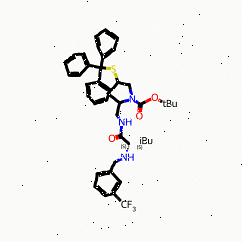 CC[C@H](C)[C@H](NCc1cccc(C(F)(F)F)c1)C(=O)NCC1CC(SC(c2ccccc2)(c2ccccc2)c2ccccc2)CN1C(=O)OC(C)(C)C